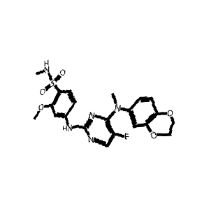 CNS(=O)(=O)c1ccc(Nc2ncc(F)c(N(C)c3ccc4c(c3)OCCO4)n2)cc1OC